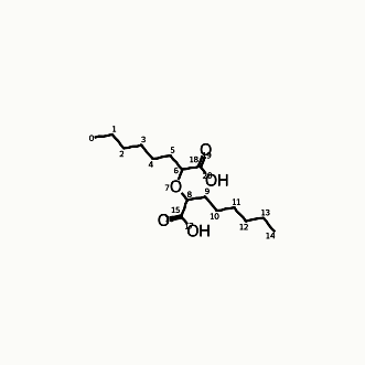 CCCCCCC(OC(CCCCCC)C(=O)O)C(=O)O